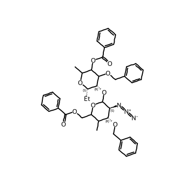 CC[C@@H]1OC(C)C(OC(=O)c2ccccc2)C(OCc2ccccc2)[C@@H]1OC1OC(COC(=O)c2ccccc2)C(C)[C@@H](OCc2ccccc2)[C@@H]1N=[N+]=[N-]